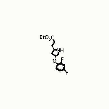 CCOC(=O)CC[C@@H]1C[C@@H](Oc2ccc(F)cc2F)CN1